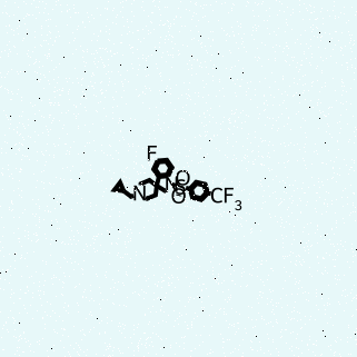 O=S(=O)(c1ccc(C(F)(F)F)cc1)N1CC2(CCN(CC3CC3)CC2)c2cc(F)ccc21